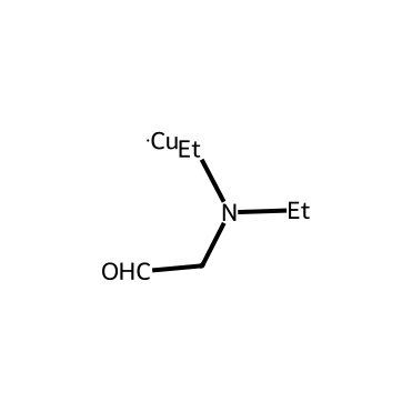 CCN(CC)CC=O.[Cu]